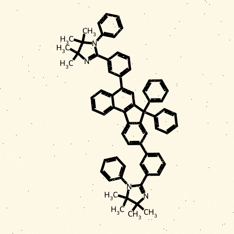 CC1(C)N=C(c2cccc(-c3ccc4c(c3)C(c3ccccc3)(c3ccccc3)c3cc(-c5cccc(C6=NC(C)(C)C(C)(C)N6c6ccccc6)c5)c5ccccc5c3-4)c2)N(c2ccccc2)C1(C)C